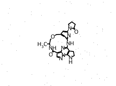 CC1COCc2cc(nc(N3CCCC3=O)c2)Nc2nc3c(cnn3c3c2CCN3)C(=O)N1